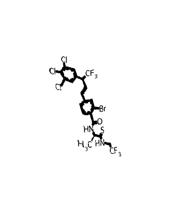 C[C@@H](NC(=O)c1ccc(/C=C/C(c2cc(Cl)c(Cl)c(Cl)c2)C(F)(F)F)cc1Br)C(=S)NCC(F)(F)F